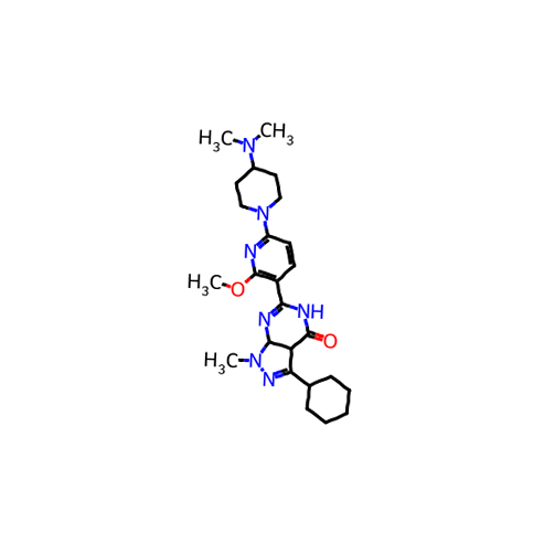 COc1nc(N2CCC(N(C)C)CC2)ccc1C1=NC2C(C(=O)N1)C(C1CCCCC1)=NN2C